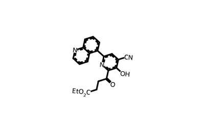 CCOC(=O)CCC(=O)c1nc(-c2cccc3ncccc23)cc(C#N)c1O